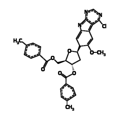 COC1=CC2=c3c(Cl)ncnc3=NC2=CC1[C@H]1C[C@H](OC(=O)c2ccc(C)cc2)[C@@H](COC(=O)c2ccc(C)cc2)O1